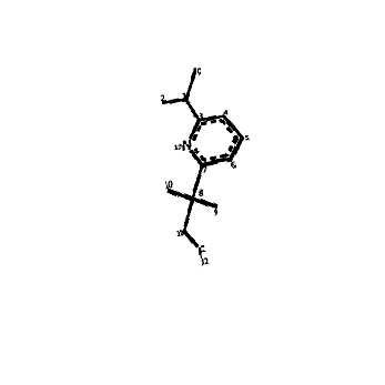 CC(C)c1cccc(C(C)(C)CF)n1